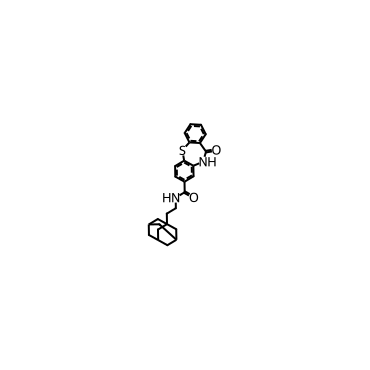 O=C(NCCC12CC3CC(CC(C3)C1)C2)c1ccc2c(c1)NC(=O)c1ccccc1S2